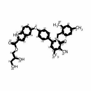 Cc1ccc(Cn2c(-c3ccc(Oc4ccc5[nH]c(C(=O)OCC(O)CO)cc5c4)cc3)cc(C(F)(F)F)c(C#N)c2=O)c(C)c1